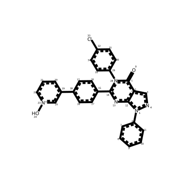 O=c1c2cnn(-c3ccccc3)c2nc(-c2ccc(-c3ccc[n+](O)c3)cc2)n1-c1ccc(Cl)cc1